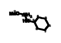 CO[SiH2]NC1CCCCC1